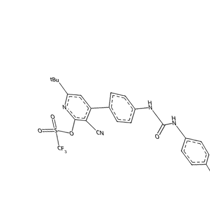 CC(C)(C)c1cc(-c2ccc(NC(=O)Nc3ccc(F)cc3)cc2)c(C#N)c(OS(=O)(=O)C(F)(F)F)n1